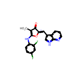 O=C(O)C1=C(Nc2ccc(F)cc2F)O/C(=C\c2c[nH]c3ncccc23)C1=O